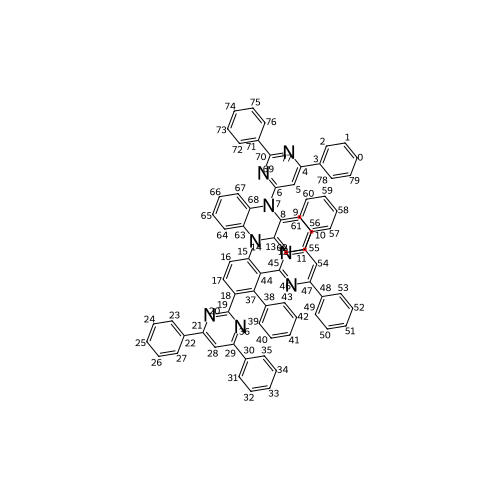 c1ccc(-c2cc(N3c4ccccc4N(c4ccc(-c5nc(-c6ccccc6)cc(-c6ccccc6)n5)c(-c5ccccc5)c4-c4nc(-c5ccccc5)cc(-c5ccccc5)n4)c4ccccc43)nc(-c3ccccc3)n2)cc1